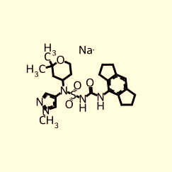 Cn1cc(N(C2CCOC(C)(C)C2)S(=O)(=O)NC(=O)Nc2c3c(cc4c2CCC4)CCC3)cn1.[Na]